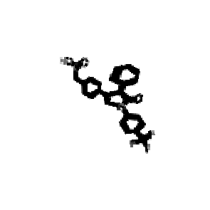 O=C1C(c2ccccc2)C(c2ccc(CS(=O)O)cc2)CN1c1ccc(C(F)(F)F)cc1